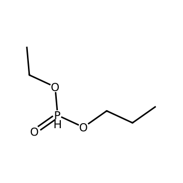 CCCO[PH](=O)OCC